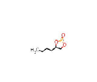 CCCCC1CO[P](=O)O1